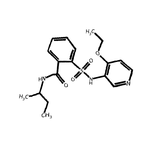 CCOc1ccncc1NS(=O)(=O)c1ccccc1C(=O)NC(C)CC